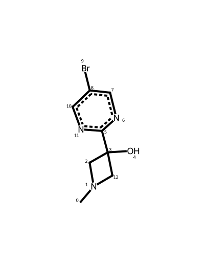 CN1CC(O)(c2ncc(Br)cn2)C1